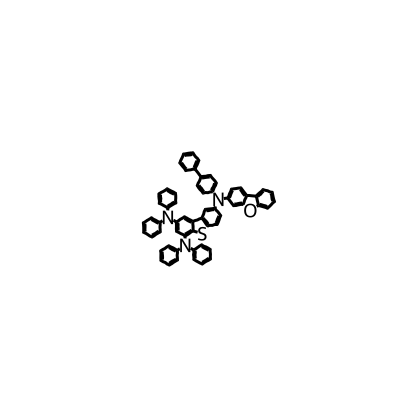 c1ccc(-c2ccc(N(c3ccc4c(c3)oc3ccccc34)c3ccc4sc5c(N(c6ccccc6)c6ccccc6)cc(N(c6ccccc6)c6ccccc6)cc5c4c3)cc2)cc1